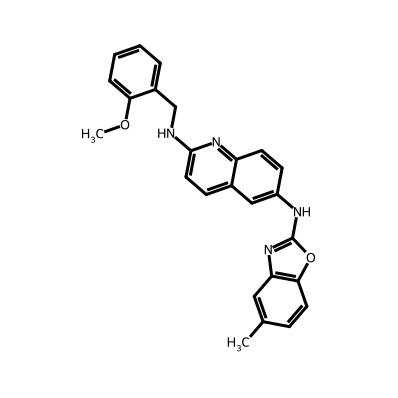 COc1ccccc1CNc1ccc2cc(Nc3nc4cc(C)ccc4o3)ccc2n1